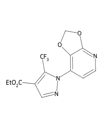 CCOC(=O)c1cnn(-c2ccnc3c2OCO3)c1C(F)(F)F